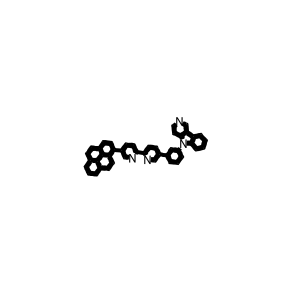 c1cc(-c2ccc(-c3ccc(-c4ccc5ccc6cccc7ccc4c5c67)cn3)nc2)cc(-n2c3ccccc3c3cnccc32)c1